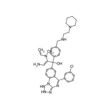 C=CN(C)/C(=C\N)C(O)(c1ccc(CNCCN2CCCCC2)cc1)c1ccc2c(c1)C(c1cccc(Cl)c1)=NC1=NNNN12